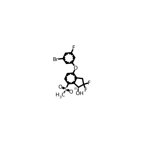 CS(=O)(=O)c1ccc(Oc2cc(F)cc(Br)c2)c2c1[C@H](O)C(F)(F)C2